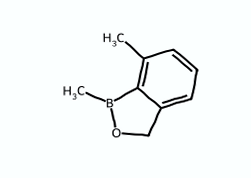 CB1OCc2cccc(C)c21